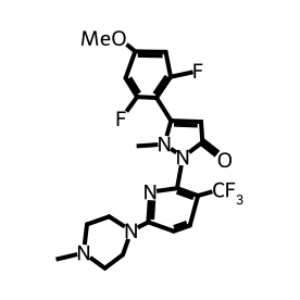 COc1cc(F)c(-c2cc(=O)n(-c3nc(N4CCN(C)CC4)ccc3C(F)(F)F)n2C)c(F)c1